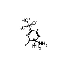 CC1C=C(S(=O)(=O)O)C=CC1(N)N